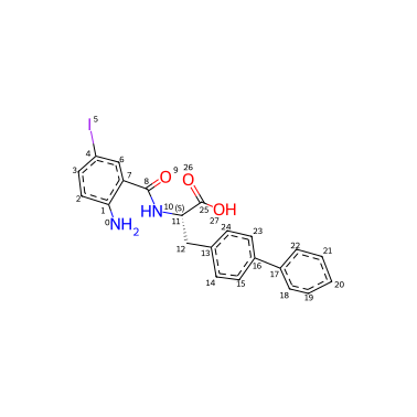 Nc1ccc(I)cc1C(=O)N[C@@H](Cc1ccc(-c2ccccc2)cc1)C(=O)O